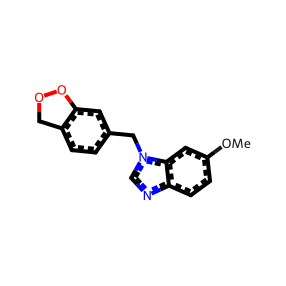 COc1ccc2ncn(Cc3ccc4c(c3)OOC4)c2c1